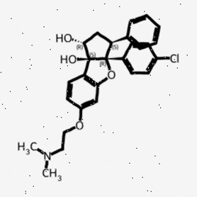 CN(C)CCOc1ccc2c(c1)O[C@@]1(c3ccc(Cl)cc3)[C@H](c3ccccc3)C[C@@H](O)[C@@]21O